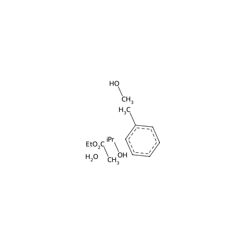 CC(C)O.CCOC(C)=O.CO.Cc1ccccc1.O